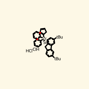 CC(C)(C)c1ccc2c(c1)-c1cc(C(C)(C)C)c[c]([Zr](=[SiH2])([C]3=CC=CC3)([c]3ccccc3)[c]3ccccc3)c1C2.Cl.Cl